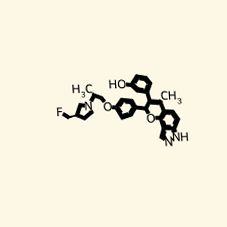 CC1=C(c2cccc(O)c2)C(c2ccc(OC[C@H](C)N3CC[C@@H](CF)C3)cc2)Oc2c1ccc1[nH]ncc21